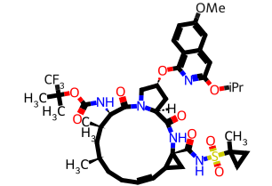 COc1ccc2c(O[C@@H]3C[C@H]4C(=O)N[C@]5(C(=O)NS(=O)(=O)C6(C)CC6)CC5/C=C\CC[C@@H](C)C[C@@H](C)[C@H](NC(=O)OC(C)(C)C(F)(F)F)C(=O)N4C3)nc(OC(C)C)cc2c1